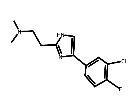 CN(C)CCc1nc(-c2ccc(F)c(Cl)c2)c[nH]1